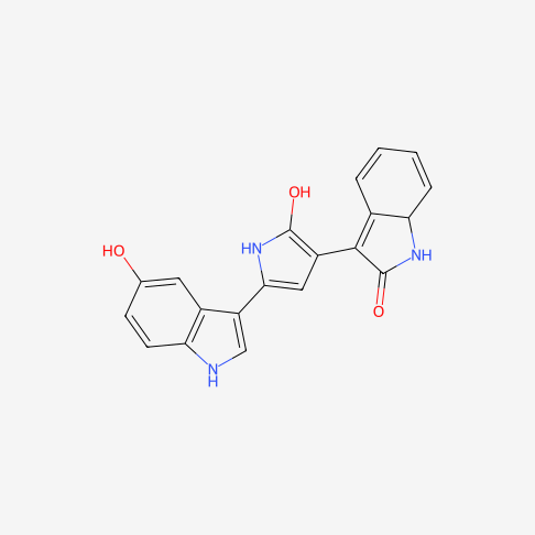 O=C1NC2C=CC=CC2=C1c1cc(-c2c[nH]c3ccc(O)cc23)[nH]c1O